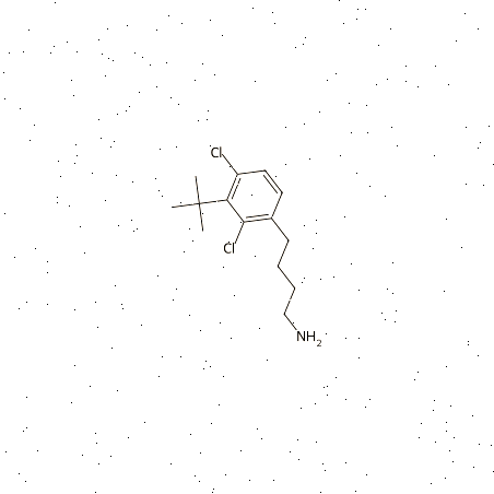 CC(C)(C)c1c(Cl)ccc(CCCCN)c1Cl